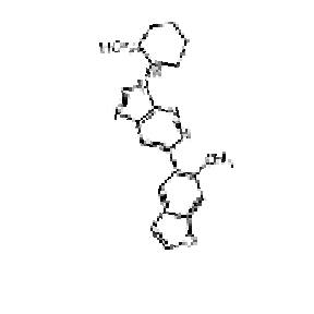 Cc1cc2occc2cc1-c1cc2ncn([C@@H]3CCCC[C@H]3O)c2nn1